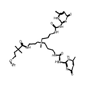 Cc1cc(=O)nc(NC(=O)NCCC[N+](C)(CCCNC(=O)Nc2nc(=O)cc(C)[nH]2)CCCNC(=O)C(C)(C)CCOC(C)C)[nH]1